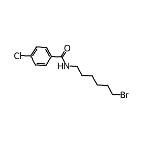 O=C(NCCCCCCBr)c1ccc(Cl)cc1